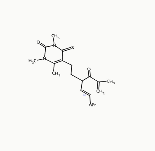 C=C(C)C(=O)C(/C=C/CCC)CCc1c(C)n(C)c(=O)n(C)c1=S